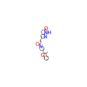 Cc1c(C2=CCN(C(=O)/C=C/c3cnc4c(c3)CCC(=O)N4)CC2)oc2ccccc12